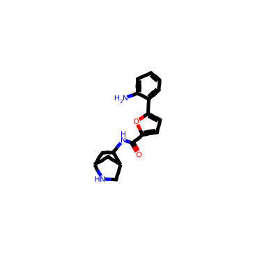 Nc1ccccc1-c1ccc(C(=O)NC2CC3CC2CN3)o1